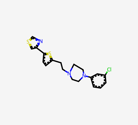 Clc1cccc(N2CCN(CCc3ccc(-c4cscn4)s3)CC2)c1